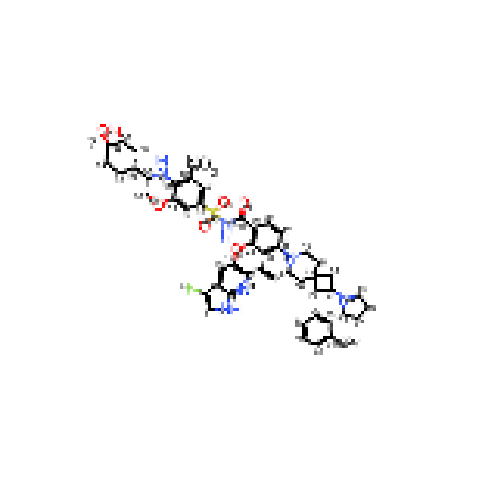 C=Cc1nc2[nH]cc(F)c2cc1Oc1cc(N2CCC3(CC2)CC(N2CCC[C@@H]2c2ccccc2C(C)C)C3)ccc1C(=O)NS(=O)(=O)c1cc2c(c([N+](=O)[O-])c1)N[C@@H]([C@H]1CC[C@](C)(O)CC1)CO2